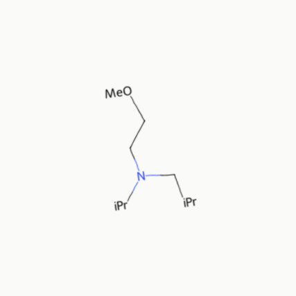 COCCN(CC(C)C)C(C)C